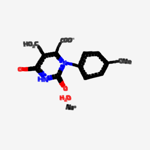 COc1ccc(-n2c(C(=O)[O-])c(C(=O)O)c(=O)[nH]c2=O)cc1.O.[Na+]